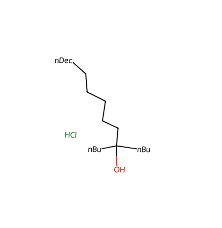 CCCCCCCCCCCCCCCC(O)(CCCC)CCCC.Cl